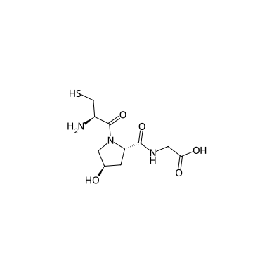 N[C@@H](CS)C(=O)N1C[C@H](O)C[C@H]1C(=O)NCC(=O)O